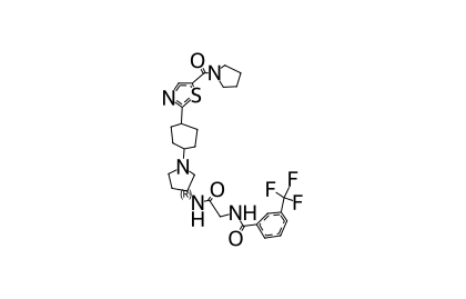 O=C(CNC(=O)c1cccc(C(F)(F)F)c1)N[C@@H]1CCN(C2CCC(c3ncc(C(=O)N4CCCC4)s3)CC2)C1